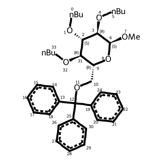 CCCCO[C@@H]1[C@@H](OCCCC)[C@@H](OC)O[C@H](COC(c2ccccc2)(c2ccccc2)c2ccccc2)[C@H]1OCCCC